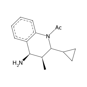 CC(=O)N1c2ccccc2[C@H](N)[C@H](C)C1C1CC1